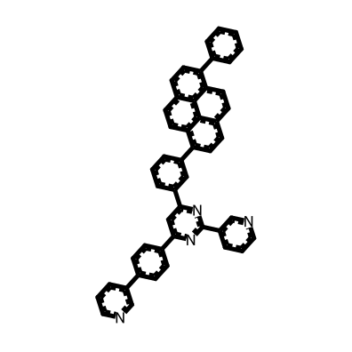 c1ccc(-c2ccc3ccc4c(-c5cccc(-c6cc(-c7ccc(-c8cccnc8)cc7)nc(-c7cccnc7)n6)c5)ccc5ccc2c3c54)cc1